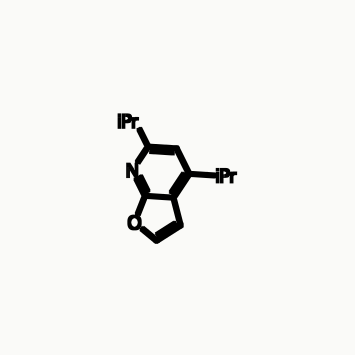 CC(C)c1cc(C(C)C)c2ccoc2n1